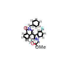 COC(=O)Cn1c(C)c(-c2cn(Cc3ccccc3)c(=O)c3ccccc23)c2cc(F)ccc21